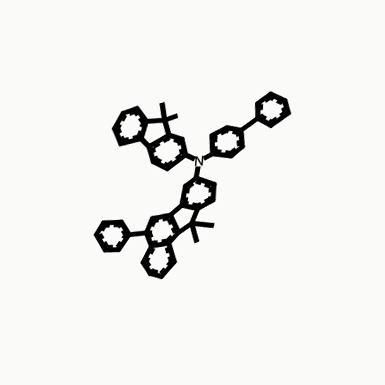 CC1(C)c2ccccc2-c2ccc(N(c3ccc(-c4ccccc4)cc3)c3ccc4c(c3)-c3cc(-c5ccccc5)c5ccccc5c3C4(C)C)cc21